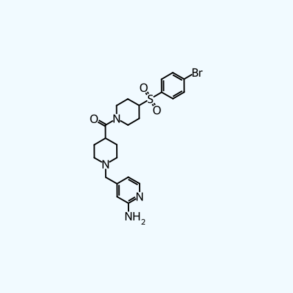 Nc1cc(CN2CCC(C(=O)N3CCC(S(=O)(=O)c4ccc(Br)cc4)CC3)CC2)ccn1